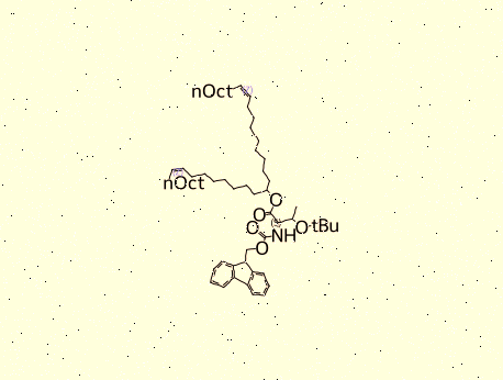 CCCCCCCC/C=C\CCCCCCCCC(CCCCCCC/C=C\CCCCCCCC)OC(=O)[C@@H](NC(=O)OCC1c2ccccc2-c2ccccc21)C(C)OC(C)(C)C